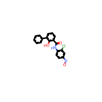 O=Nc1ccc(NC(=O)c2cccc(-c3ccccc3)c2O)c(Cl)c1